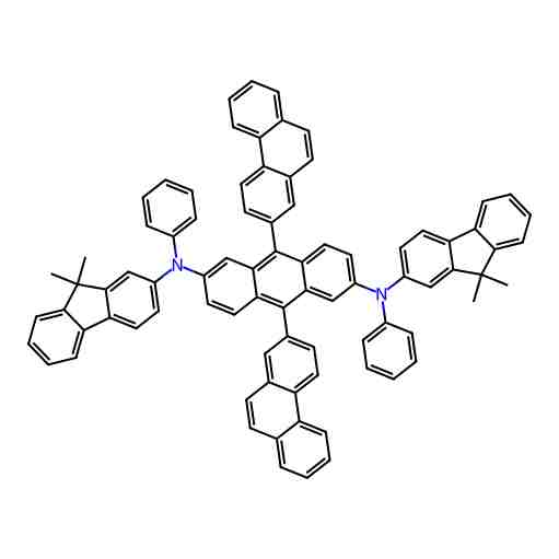 CC1(C)c2ccccc2-c2ccc(N(c3ccccc3)c3ccc4c(-c5ccc6c(ccc7ccccc76)c5)c5cc(N(c6ccccc6)c6ccc7c(c6)C(C)(C)c6ccccc6-7)ccc5c(-c5ccc6c(ccc7ccccc76)c5)c4c3)cc21